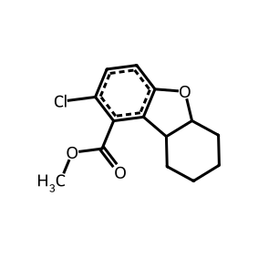 COC(=O)c1c(Cl)ccc2c1C1CCCCC1O2